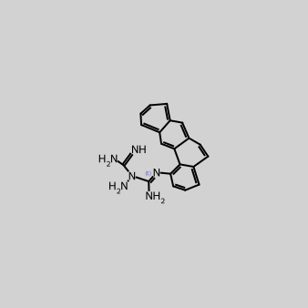 N=C(N)N(N)/C(N)=N/c1cccc2ccc3cc4ccccc4cc3c12